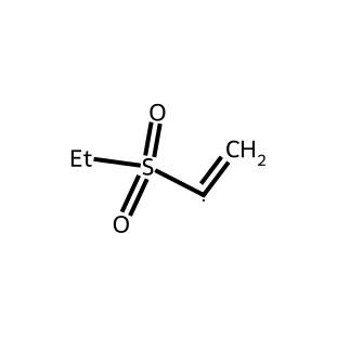 C=[C]S(=O)(=O)CC